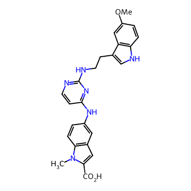 COc1ccc2[nH]cc(CCNc3nccc(Nc4ccc5c(c4)cc(C(=O)O)n5C)n3)c2c1